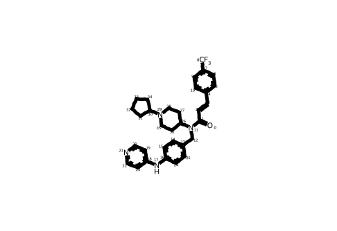 O=C(C=Cc1ccc(C(F)(F)F)cc1)N(Cc1ccc(Nc2ccncc2)cc1)C1CCN(C2CCCC2)CC1